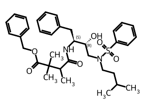 CC(C)CCN(C[C@@H](O)[C@H](Cc1ccccc1)NC(=O)C(C)C(C)(C)C(=O)OCc1ccccc1)S(=O)(=O)c1ccccc1